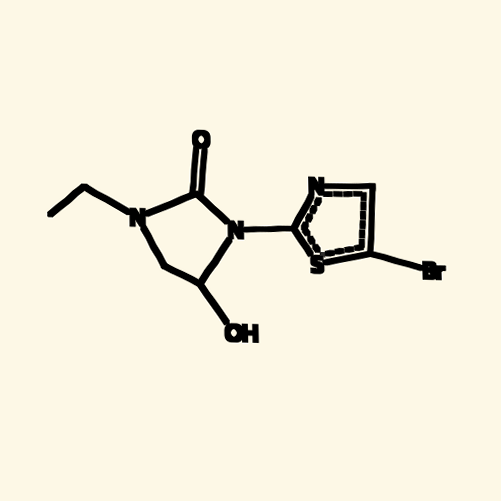 CCN1CC(O)N(c2ncc(Br)s2)C1=O